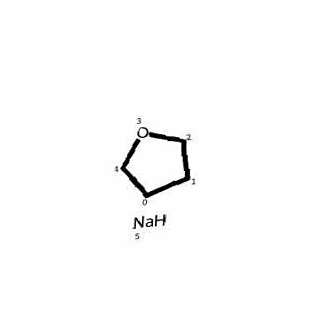 C1CCOC1.[NaH]